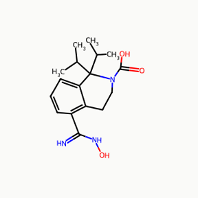 CC(C)C1(C(C)C)c2cccc(C(=N)NO)c2CCN1C(=O)O